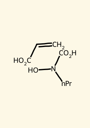 C=CC(=O)O.CCCN(O)C(=O)O